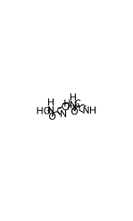 CC1(C(=O)Nc2ccc3cc(C(=O)NO)cnc3c2)CCNCC1